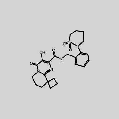 O=C(NCc1ccccc1N1CCCCS1(=O)=O)c1nc2n(c(=O)c1O)CCCC21CCC1